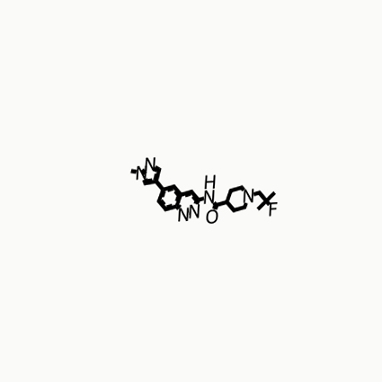 Cn1cc(-c2ccc3nnc(NC(=O)C4CCN(CC(C)(C)F)CC4)cc3c2)cn1